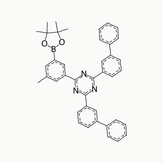 Cc1cc(B2OC(C)(C)C(C)(C)O2)cc(-c2nc(-c3cccc(-c4ccccc4)c3)nc(-c3cccc(-c4ccccc4)c3)n2)c1